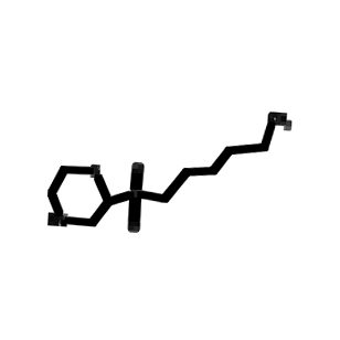 CCCCCCS(=O)(=O)C1CNCCS1